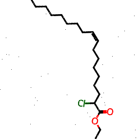 CCCCCCCC/C=C\CCCCCCC(Cl)C(=O)OCC